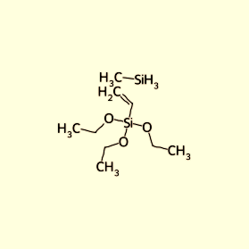 C=C[Si](OCC)(OCC)OCC.C[SiH3]